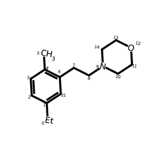 CCc1ccc(C)c(CCN2CCOCC2)c1